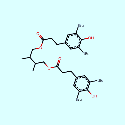 CC(COC(=O)CCc1cc(C(C)(C)C)c(O)c(C(C)(C)C)c1)C(C)COC(=O)CCc1cc(C(C)(C)C)c(O)c(C(C)(C)C)c1